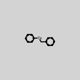 c1ccc(C[Te]c2ccccc2)cc1